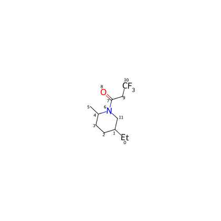 CCC1CCC(C)N(C(=O)CC(F)(F)F)C1